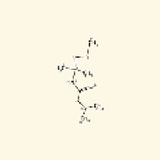 CCCC(C)(C)NC(=O)CC(C)C